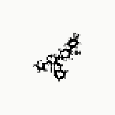 O=C(N/C(=C\c1ccccc1)C(=O)N1CCC(O)(c2ccc(Br)cc2)CC1)c1ccco1